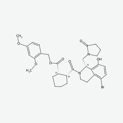 COc1ccc(COC(=O)[C@H]2CCCC[C@H]2C(=O)N2CCc3c(Br)ccc(O)c3[C@H]2CN2CCCC2=O)c(OC)c1